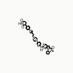 CN(C)C(=O)c1cc2cnc(Nc3ccc(N4CCN(CCC5CN(c6ccc(C7CCC(=O)NC7=O)cc6)C5)CC4)cn3)nc2n1C1CCCC1